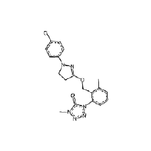 Cc1cccc(-n2nnn(C)c2=O)c1COC1=NN(c2ccc(Cl)cc2)CC1